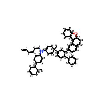 C=C/C=C\C=C/N(C1=CCC(C2=CC=CCC2C)C=C1)C1=CCC(C)(c2ccc(-c3ccccc3)c(-c3ccc4ccc5oc6ccccc6c5c4c3)c2)C=C1